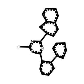 Clc1nc(-c2ccc3ccccc3c2)nc(-c2ccccc2-c2ccccc2)n1